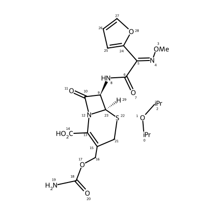 CC(C)OC(C)C.CO/N=C(/C(=O)N[C@@H]1C(=O)N2C(C(=O)O)=C(COC(N)=O)CS[C@H]12)c1ccco1